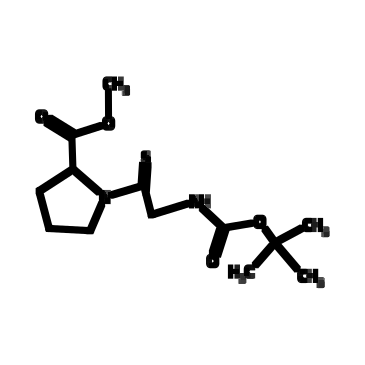 COC(=O)C1CCCN1C(=S)CNC(=O)OC(C)(C)C